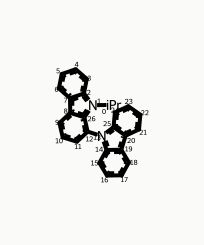 CC(C)n1c2ccccc2c2cccc(-n3c4ccccc4c4ccccc43)c21